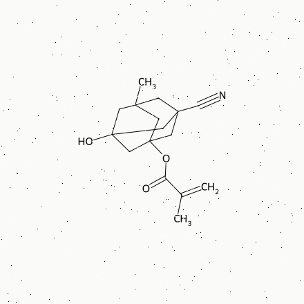 C=C(C)C(=O)OC12CC3(C)CC(O)(CC(C#N)(C3)C1)C2